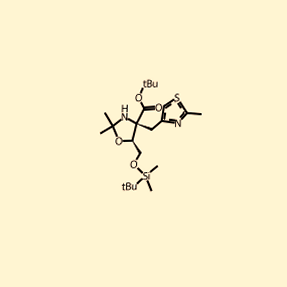 Cc1nc(C[C@]2(C(=O)OC(C)(C)C)NC(C)(C)O[C@@H]2CO[Si](C)(C)C(C)(C)C)cs1